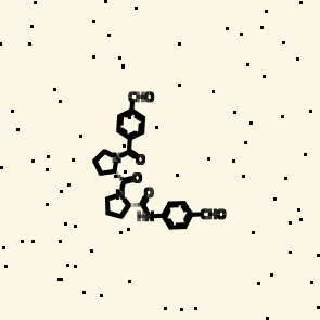 O=Cc1ccc(NC(=O)[C@@H]2CCCN2C(=O)[C@@H]2CCCN2C(=O)c2ccc(C=O)cc2)cc1